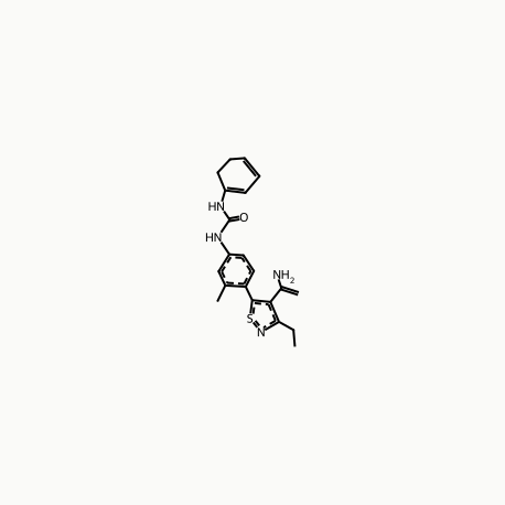 C=C(N)c1c(CC)nsc1-c1ccc(NC(=O)NC2=CC=CCC2)cc1C